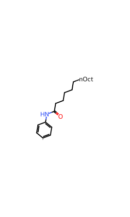 CCCCCCCCCCCCCC(=O)Nc1cc[c]cc1